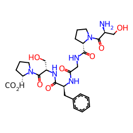 N[C@@H](CO)C(=O)N1CCC[C@H]1C(=O)NCC(=O)N[C@@H](Cc1ccccc1)C(=O)N[C@@H](CO)C(=O)N1CCC[C@H]1C(=O)O